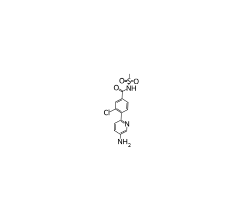 CS(=O)(=O)NC(=O)c1ccc(-c2ccc(N)cn2)c(Cl)c1